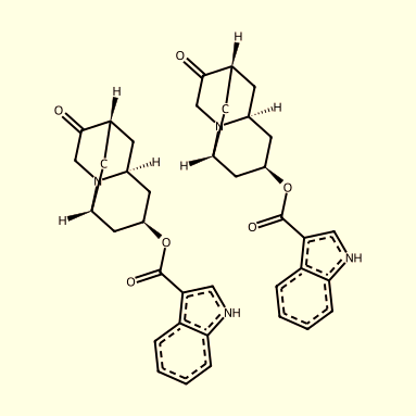 O=C(O[C@@H]1C[C@@H]2C[C@@H]3C[C@H](C1)N2CC3=O)c1c[nH]c2ccccc12.O=C(O[C@@H]1C[C@@H]2C[C@@H]3C[C@H](C1)N2CC3=O)c1c[nH]c2ccccc12